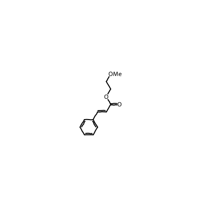 COCCOC(=O)C=Cc1ccccc1